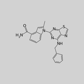 Cc1cc2c(C(N)=O)cccc2n1-c1nc(NCc2ccccc2)c2ncsc2n1